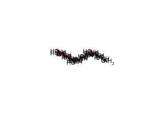 NCC(=O)NCC(=O)NCC(=O)NCC(=O)NCC(=O)N[C@@H](CO)C(=O)NCC(=O)NCC(=O)NCC(=O)NCC(=O)NCC(=O)N[C@@H](CO)C(=O)NCC(=O)NCC(=O)NCC(=O)NCC(=O)NCC(=O)N[C@@H](CO)C(=O)O